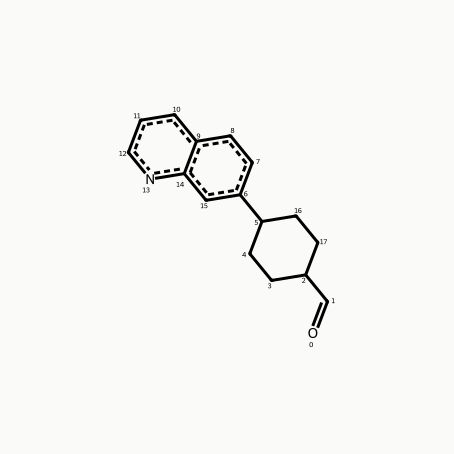 O=CC1CCC(c2ccc3cccnc3c2)CC1